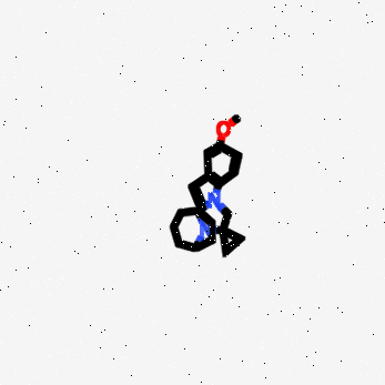 COc1ccc2c(ccn2CC2(N3C4CCCC3CC4)CC2)c1